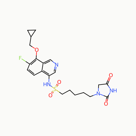 O=C1CN(CCCCCS(=O)(=O)Nc2cncc3c(OCC4CC4)c(F)ccc23)C(=O)N1